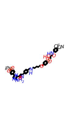 CC(C)S(=O)(=O)c1ccc(-c2cnc(N)c(-c3cc(-c4ccc(CNCCCCCOc5ccc(S(=O)(=O)C[C@H](O)C(=O)Nc6ccc(C#N)c(C(F)(F)F)c6)cc5)cc4)no3)n2)cc1